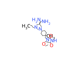 CCCN1CC(=C(N)N)CN(C2CCC(C)(CN3C(=O)NC(=O)[C@]34CCOC4)CC2)C1